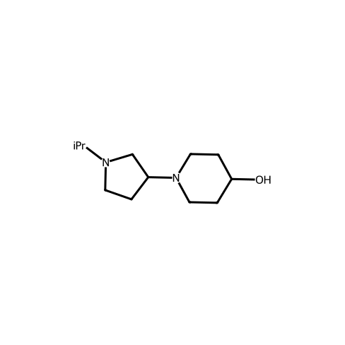 CC(C)N1CCC(N2CCC(O)CC2)C1